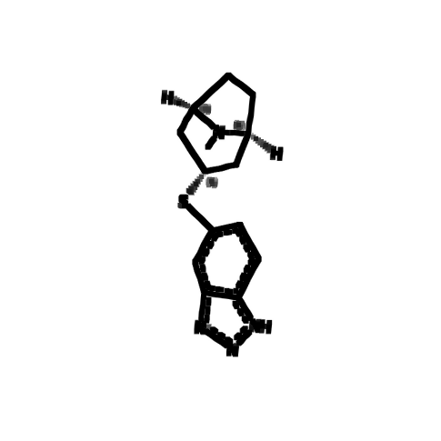 CN1[C@@H]2CC[C@H]1C[C@H](Sc1ccc3[nH]nnc3c1)C2